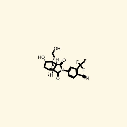 C[C@]12C[C@H](O)[C@](CCO)(O1)[C@@H]1C(=O)N(c3ccc(C#N)c(C(F)(F)F)c3)C(=O)[C@@H]12